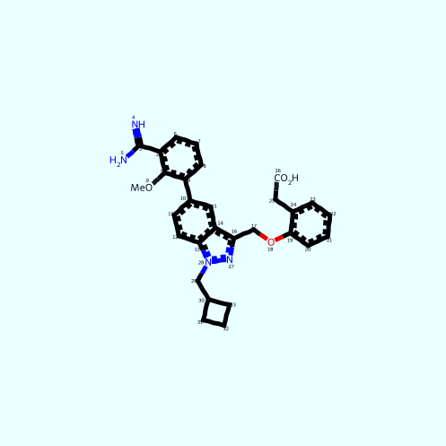 COc1c(C(=N)N)cccc1-c1ccc2c(c1)c(COc1ccccc1CC(=O)O)nn2CC1CCC1